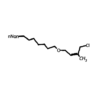 CCCCCCCCCCCCCCCCOCC=C(C)CCl